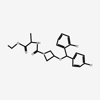 CCOC(=O)C(C)NC(=O)N1CC(OC(c2ccc(Cl)cc2)c2ccccc2Cl)C1